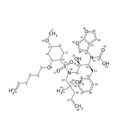 C=CCCCCOC1CC(OC)CCC1S(=O)(=O)N(C[C@@H](O)[C@H](Cc1ccccc1)N(C(=O)O)c1coc2occc12)CC(C)(C)CC=C